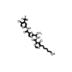 CC(NC(=O)c1ncnc(CCCCCO)c1Cl)c1ncc(C(=O)Nc2cc(C(F)(F)F)c(Cl)cn2)s1